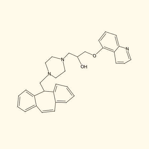 OC(COc1cccc2ncccc12)CN1CCN(CC2c3ccccc3C=Cc3ccccc32)CC1